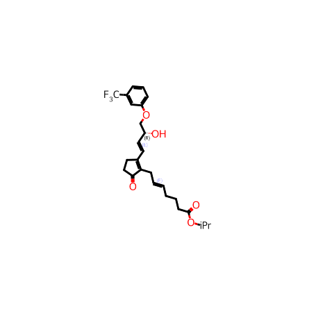 CC(C)OC(=O)CCC/C=C/CC1=C(/C=C/[C@@H](O)COc2cccc(C(F)(F)F)c2)CCC1=O